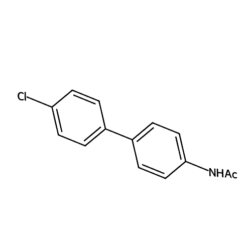 CC(=O)Nc1ccc(-c2ccc(Cl)cc2)cc1